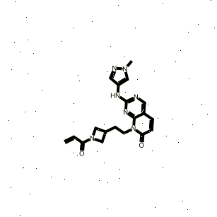 C=CC(=O)N1CC(CCn2c(=O)ccc3cnc(Nc4cnn(C)c4)nc32)C1